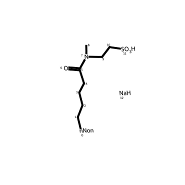 CCCCCCCCCCCCCC(=O)N(C)CCS(=O)(=O)O.[NaH]